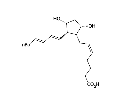 CCCC/C=C/C=C/[C@@H]1[C@@H](C/C=C\CCCC(=O)O)[C@@H](O)C[C@H]1O